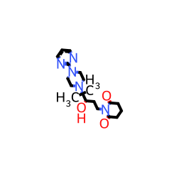 CC(C)(C(O)CCN1C(=O)CCCC1=O)N1CCN(c2ncccn2)CC1